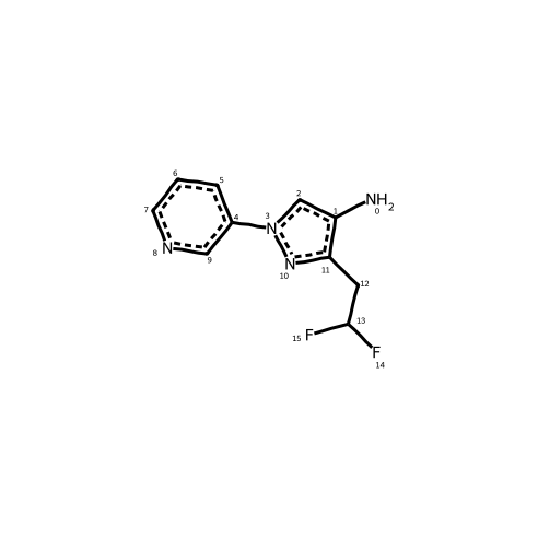 Nc1cn(-c2cccnc2)nc1CC(F)F